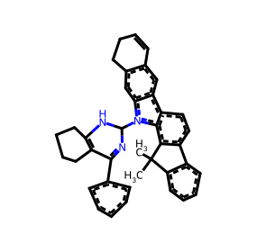 CC1(C)c2ccccc2-c2ccc3c4cc5c(cc4n(C4N=C(c6ccccc6)C6=C(CCCC6)N4)c3c21)CCC=C5